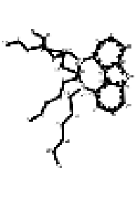 CCCCCCN(CCCCCC)c1cccc2sc3cccc(N(CCCCCC)CCCCCC)c3c12